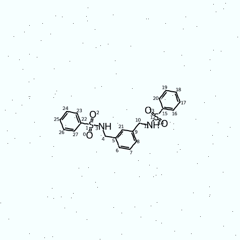 O=S(=O)(NCc1cccc(CNS(=O)(=O)c2ccccc2)c1)c1ccccc1